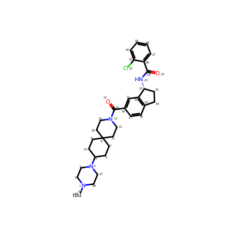 CC(C)(C)N1CCN(C2CCC3(CC2)CCN(C(=O)c2ccc4c(c2)[C@H](NC(=O)c2ccccc2Cl)CC4)CC3)CC1